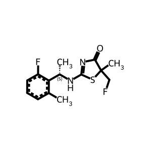 Cc1cccc(F)c1[C@H](C)NC1=NC(=O)C(C)(CF)S1